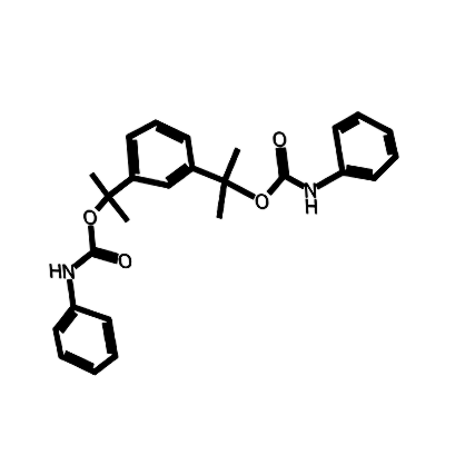 CC(C)(OC(=O)Nc1ccccc1)c1cccc(C(C)(C)OC(=O)Nc2ccccc2)c1